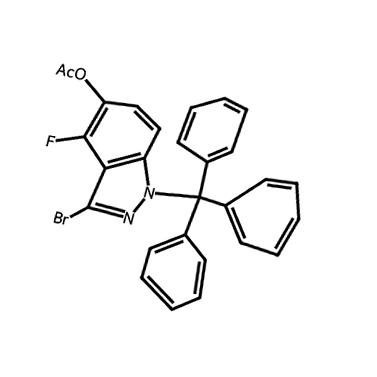 CC(=O)Oc1ccc2c(c(Br)nn2C(c2ccccc2)(c2ccccc2)c2ccccc2)c1F